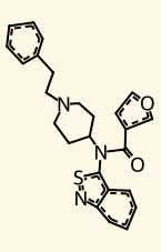 O=C(c1ccoc1)N(c1snc2ccccc12)C1CCN(CCc2ccccc2)CC1